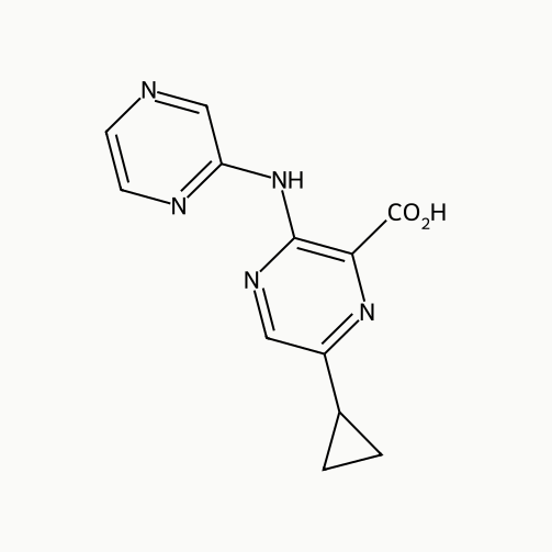 O=C(O)c1nc(C2CC2)cnc1Nc1cnccn1